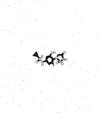 O=C1CN(c2c(O)cc(NS(=O)(=O)C3CC3)cc2F)S(=O)(=O)N1